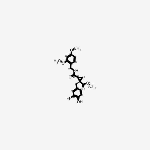 COC(=O)[C@@]1(Cc2ccc(O)c(F)c2)CC1C(=O)NCc1ccc(OC)cc1OC